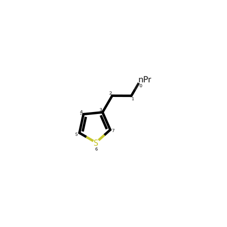 CCCCCc1[c]csc1